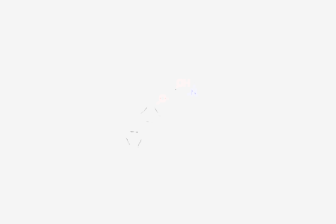 CC(O)(COc1ccc(-c2ccccc2I)cc1)CN1CCCCC1